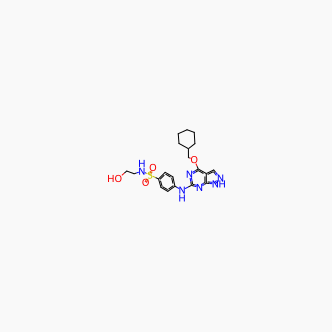 O=S(=O)(NCCO)c1ccc(Nc2nc(OCC3CCCCC3)c3cn[nH]c3n2)cc1